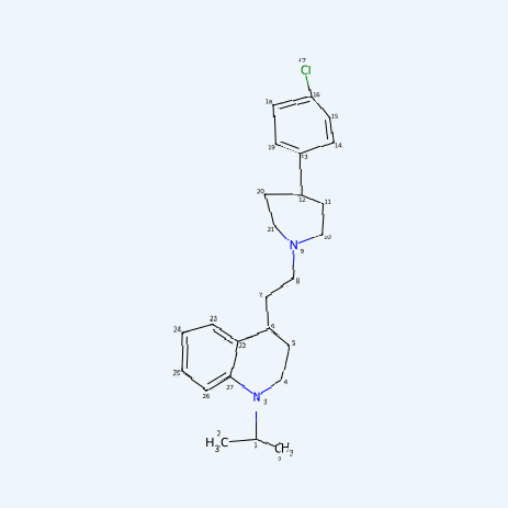 CC(C)N1CCC(CCN2CCC(c3ccc(Cl)cc3)CC2)c2ccccc21